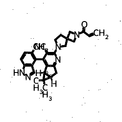 C=CC(=O)N1CC2(CCN(c3nc4c(c(-c5c(C)ccc6[nH]ncc56)c3C#N)[C@@H]3[C@H](C4)C3(C)C)C2)C1